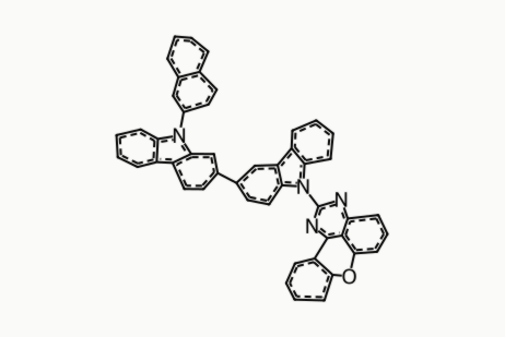 c1ccc2c(c1)Oc1cccc3nc(-n4c5ccccc5c5cc(-c6ccc7c8ccccc8n(-c8ccc9ccccc9c8)c7c6)ccc54)nc-2c13